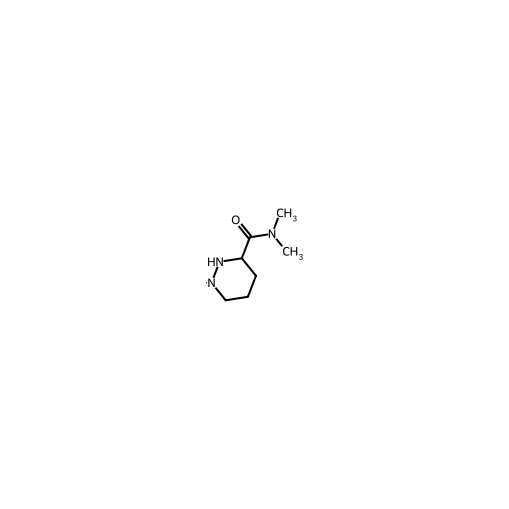 CN(C)C(=O)C1CCC[N]N1